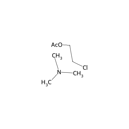 CC(=O)OCCCl.CN(C)C